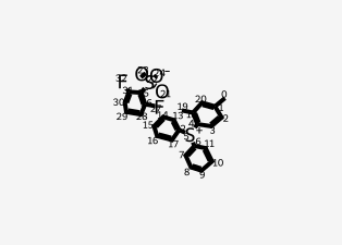 Cc1ccc([S+](c2ccccc2)c2ccccc2)c(C)c1.O=S(=O)([O-])c1c(F)cccc1F